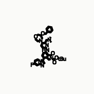 CN(C)Cc1nc(Nc2ccc(-c3cnc4cc(F)ccn34)c3c2C(=O)N(C(=O)OC(C)(C)C)C3)ccc1N1CCOCC(OCc2ccccc2)C1